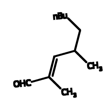 CCCCCC(C)C=C(C)C=O